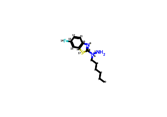 CCCCCCN(N)c1nc2ccc(F)cc2s1